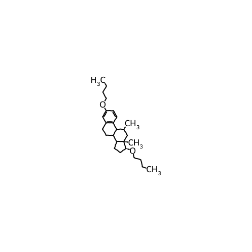 CCCCOc1ccc2c(c1)CCC1C2[C@@H](C)C[C@@]2(C)C1CC[C@@H]2OCCCC